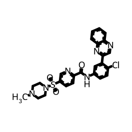 CN1CCN(S(=O)(=O)c2ccc(C(=O)Nc3ccc(Cl)c(-c4cnc5ccccc5n4)c3)nc2)CC1